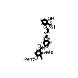 CCCC(C)Oc1ccc(C(=O)Nc2ccc3nc(SCC(=O)N[C@@H](C)c4ccccc4O)sc3c2)c(OC)c1C